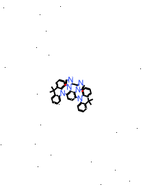 CC1(C)c2ccccc2N(c2ccc(N3c4ccccc4C(C)(C)c4ccccc43)c3c2n2ccnc2c2nccn23)c2ccccc21